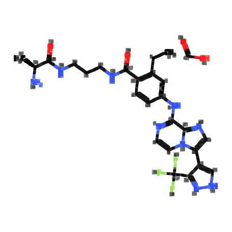 CCc1cc(Nc2nccn3c(-c4c[nH]nc4C(F)(F)F)cnc23)ccc1C(=O)NCCCNC(=O)[C@H](C)N.O=CO